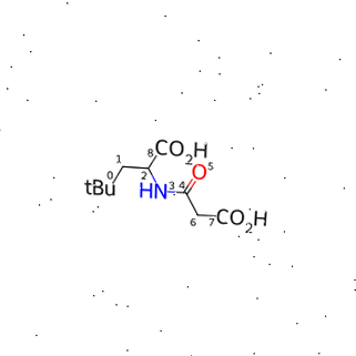 CC(C)(C)CC(NC(=O)CC(=O)O)C(=O)O